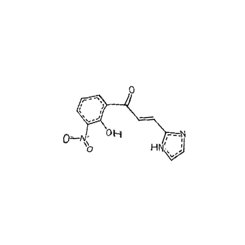 O=C(C=Cc1ncc[nH]1)c1cccc([N+](=O)[O-])c1O